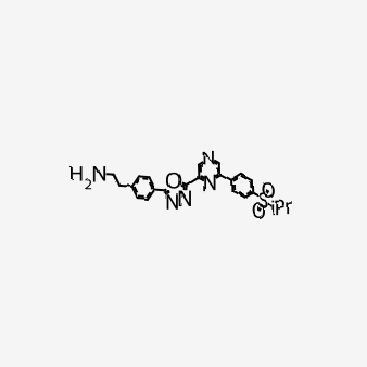 CC(C)S(=O)(=O)c1ccc(-c2cncc(-c3nnc(-c4ccc(CCN)cc4)o3)n2)cc1